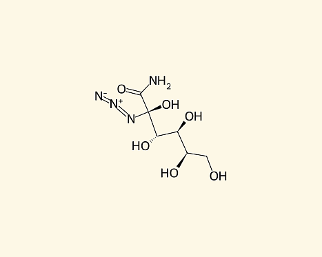 [N-]=[N+]=N[C@](O)(C(N)=O)[C@@H](O)[C@@H](O)[C@H](O)CO